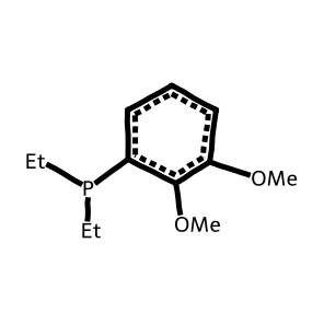 CCP(CC)c1cccc(OC)c1OC